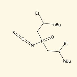 CCCCC(CC)CP(=O)(CC(CC)CCCC)N=C=S